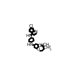 CC1(C)CCCOC2(CCC(N[C@H]3CC[C@H](Nc4ccnc5cc(Cl)ccc45)CC3)CC2)OO1